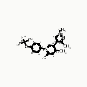 Cc1cc(=O)n(-c2ccc(OC(F)(F)F)cc2)cc1-c1cn(C)nc1C